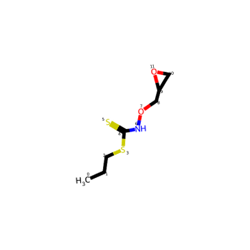 CCCSC(=S)NOCC1CO1